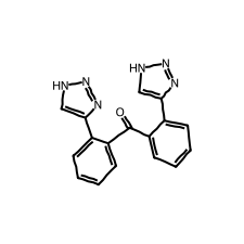 O=C(c1ccccc1-c1c[nH]nn1)c1ccccc1-c1c[nH]nn1